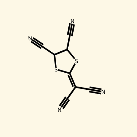 N#CC(C#N)=C1SC(C#N)C(C#N)S1